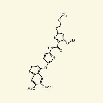 CCOc1cn(CCOC(F)(F)F)nc1C(=O)Nc1ccc(Oc2ccnc3cc(OC)c(OC)cc23)cn1